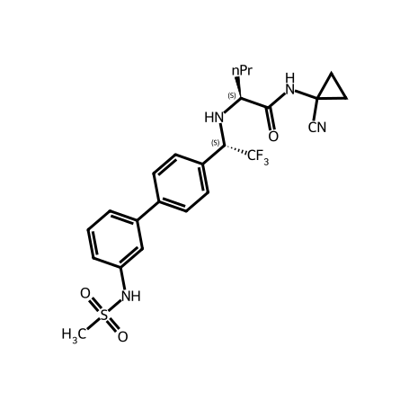 CCC[C@H](N[C@@H](c1ccc(-c2cccc(NS(C)(=O)=O)c2)cc1)C(F)(F)F)C(=O)NC1(C#N)CC1